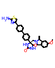 C=C1c2cc(OC)ccc2CN1C[C@]1(c2ccc(-c3ccc(-c4csc(N)n4)cc3)cc2)NC(=O)NC1=O